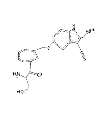 N#Cc1c(N)[nH]c2ccc(OCc3cccc(C(=O)C(N)CO)c3)cc12